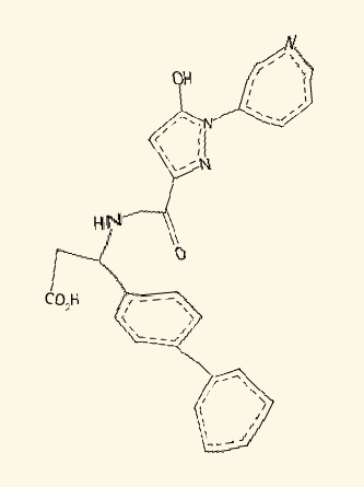 O=C(O)CC(NC(=O)c1cc(O)n(-c2cccnc2)n1)c1ccc(-c2ccccc2)cc1